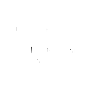 Nc1ccc(N2CCC[C@H]2c2cc(F)cc(F)c2)nc1